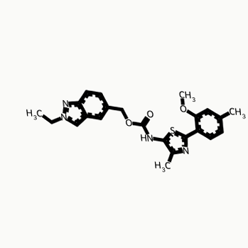 CCn1cc2cc(COC(=O)Nc3sc(-c4ccc(C)cc4OC)nc3C)ccc2n1